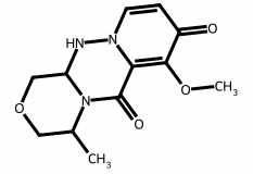 COc1c2n(ccc1=O)NC1COCC(C)N1C2=O